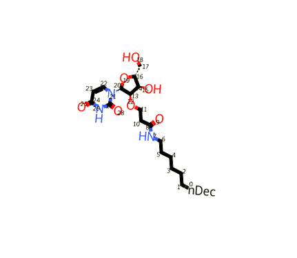 CCCCCCCCCCCCCCCCNC(=O)CCO[C@@H]1[C@H](O)[C@@H](CO)O[C@H]1n1ccc(=O)[nH]c1=O